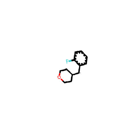 Fc1ccccc1[CH]C1CCOCC1